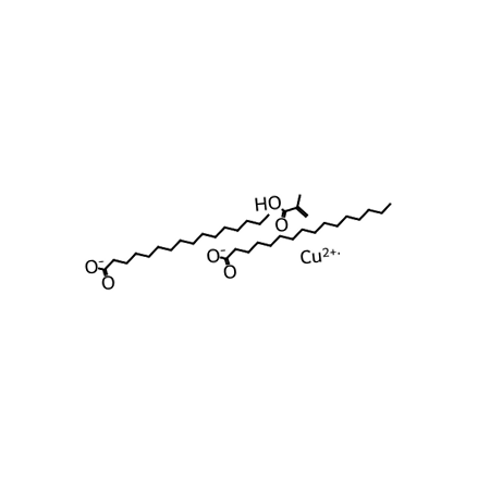 C=C(C)C(=O)O.CCCCCCCCCCCCCCCC(=O)[O-].CCCCCCCCCCCCCCCC(=O)[O-].[Cu+2]